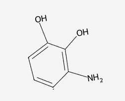 Nc1[c]ccc(O)c1O